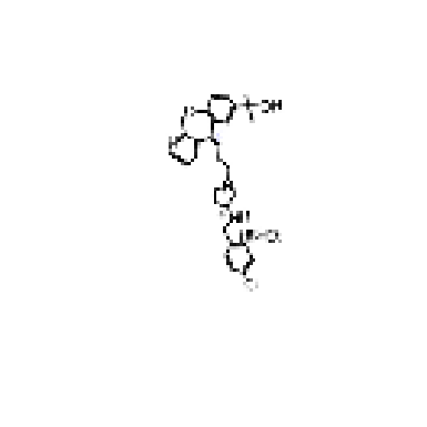 CCNc1cc(Cl)ccc1CN[C@@H]1CCN(CC/C=C2/c3cc(C(C)(C)O)ccc3OCc3ncccc32)C1